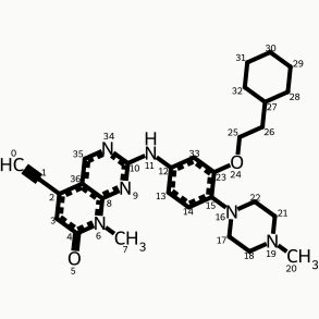 C#Cc1cc(=O)n(C)c2nc(Nc3ccc(N4CCN(C)CC4)c(OCCC4CCCCC4)c3)ncc12